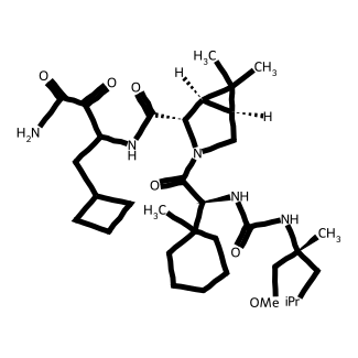 COC[C@@](C)(CC(C)C)NC(=O)N[C@H](C(=O)N1C[C@H]2[C@@H]([C@H]1C(=O)NC(CC1CCC1)C(=O)C(N)=O)C2(C)C)C1(C)CCCCC1